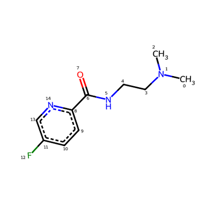 CN(C)CCNC(=O)c1ccc(F)cn1